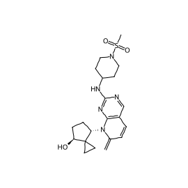 C=C1C=Cc2cnc(NC3CCN(S(C)(=O)=O)CC3)nc2N1[C@H]1CC[C@H](O)C12CC2